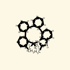 Cc1cccc2c1C(C)(C)n1c(C)nc3cccc(c31)-c1ccccc1-c1ccccc1-2